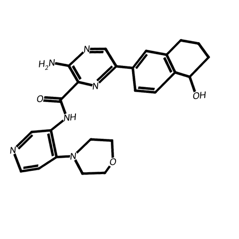 Nc1ncc(-c2ccc3c(c2)CCCC3O)nc1C(=O)Nc1cnccc1N1CCOCC1